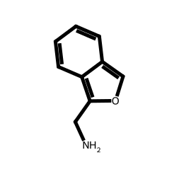 NCc1occ2ccccc12